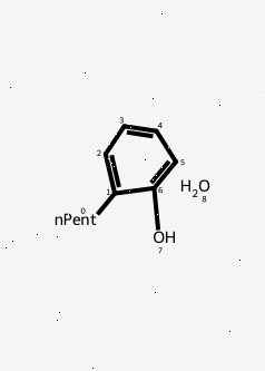 CCCCCc1ccccc1O.O